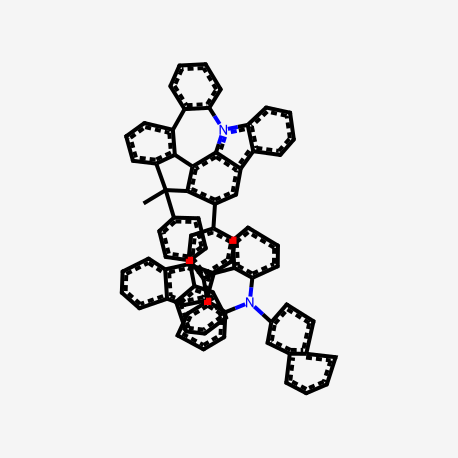 CC1(c2ccc(-c3ccccc3)cc2)c2cccc3c2-c2c1c(-c1ccc(-c4ccccc4N(c4ccc5ccccc5c4)c4ccccc4-c4ccc5ccccc5c4)cc1)cc1c4ccccc4n(c21)-c1ccccc1-3